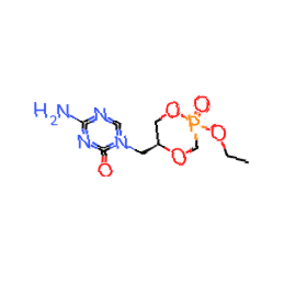 CCOP1(=O)CO[C@@H](Cn2cnc(N)nc2=O)CO1